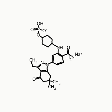 CCc1nn(-c2ccc(C(N)=O)c(NC3CCC(OP(=O)([O-])O)CC3)c2)c2c1C(=O)CC(C)(C)C2.[Na+]